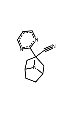 CN1C2CCC1CC(C#N)(c1ncccn1)C2